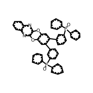 O=P(c1ccccc1)(c1ccccc1)c1cccc(-c2cc3c(cc2-c2cccc(P(=O)(c4ccccc4)c4ccccc4)c2)Oc2nc4ccccc4nc2O3)c1